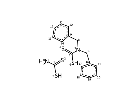 NC(=S)S.S=C(S)N(Cc1ccccc1)Cc1ccccc1